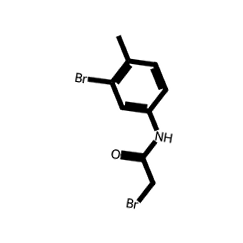 Cc1ccc(NC(=O)CBr)cc1Br